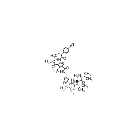 CCC(C(=O)Nc1sc(C(=O)NCCNC(=O)[C@@H](NC(=O)[C@@H](NC(=O)[C@@H](N)C(C)C)C(C)C)C(C)C)c(C)c1C(=O)OC)c1ccc(C#N)cc1